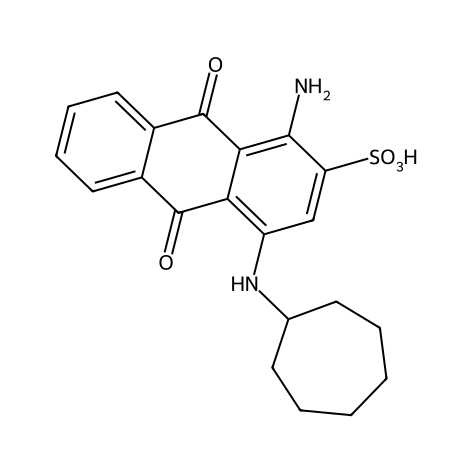 Nc1c(S(=O)(=O)O)cc(NC2CCCCCC2)c2c1C(=O)c1ccccc1C2=O